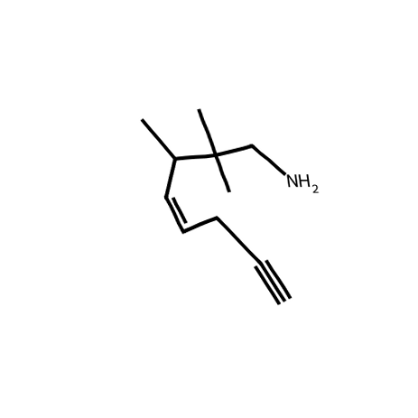 C#CC/C=C\C(C)C(C)(C)CN